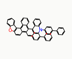 c1ccc(-c2ccc(N(c3ccccc3-c3ccccc3)c3ccccc3-c3cccc4c5ccc6oc7ccccc7c6c5c5ccccc5c34)cc2)cc1